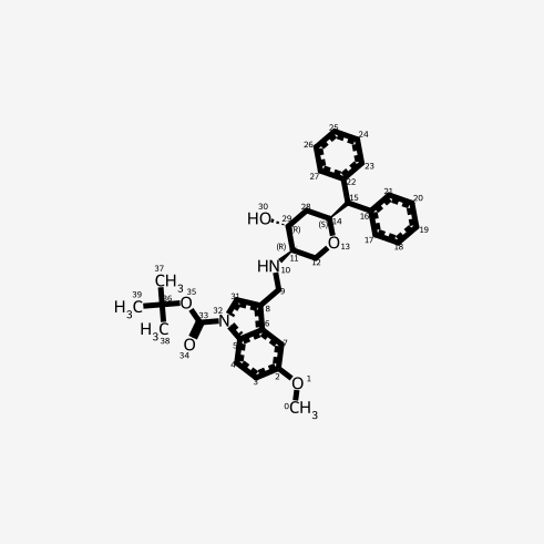 COc1ccc2c(c1)c(CN[C@@H]1CO[C@H](C(c3ccccc3)c3ccccc3)C[C@H]1O)cn2C(=O)OC(C)(C)C